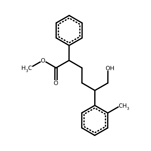 COC(=O)C(CCC(CO)c1ccccc1C)c1ccccc1